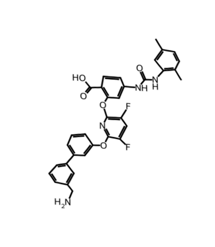 Cc1ccc(C)c(NC(=O)Nc2ccc(C(=O)O)c(Oc3nc(Oc4cccc(-c5cccc(CN)c5)c4)c(F)cc3F)c2)c1